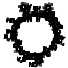 CCCC[C@H]1C(=O)N(C)[C@@H](CCCC)C(=O)N[C@@H](CC(C)C)C(=O)N(C)CC(=O)NCC(=O)N[C@@H](Cc2ccc(O)cc2)C(=O)N(C)[C@@H](C)C(=O)N[C@@H](CC(N)=O)C(=O)N2CCCC2C(=O)N[C@@H](CN)C(=O)N[C@@H](CC(C)C)C(=O)N2C[C@H](O)C[C@H]2C(=O)N[C@@H](Cc2c[nH]c3ccccc23)C(=O)N[C@@H](CCN)C(=O)N[C@@H](Cc2c[nH]c3ccccc23)C(=O)N1C